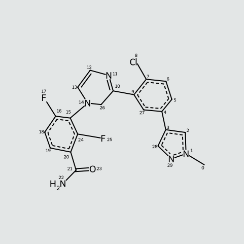 Cn1cc(-c2ccc(Cl)c(C3=NC=CN(c4c(F)ccc(C(N)=O)c4F)C3)c2)cn1